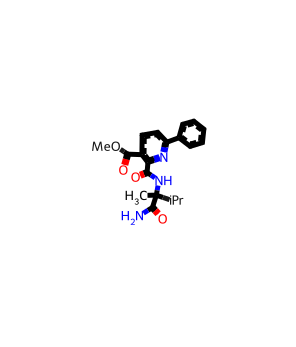 COC(=O)c1ccc(-c2ccccc2)nc1C(=O)NC(C)(C(N)=O)C(C)C